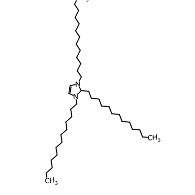 CCCCCCCCCCCCCC1N(CCCCCCCCCCCCC)C=CN1CCCCCCCCCCCCC